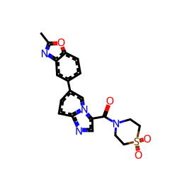 Cc1nc2cc(-c3ccc4ncc(C(=O)N5CCS(=O)(=O)CC5)n4c3)ccc2o1